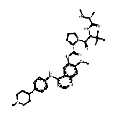 CN[C@@H](C)C(=O)N[C@H](C(=O)N1CCC[C@H]1C(=O)Nc1cc2c(Nc3ccc(C4CCN(C)CC4)cc3)ncnc2cc1OC)C(C)(C)C